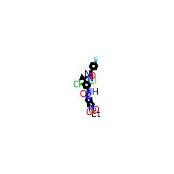 CCS(=O)(=O)N1CC2CN(C(=O)Nc3cc(Cl)c(C4(c5noc(-c6ccc(F)cc6)n5)CC4)c(Cl)c3)CC2C1